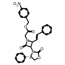 O=C(CN1C(=O)C(N2C(=O)OC[C@@H]2c2ccccc2)C1C=Cc1ccccc1)OCc1ccc([N+](=O)[O-])cc1